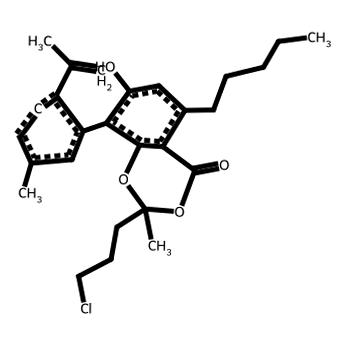 C=C(C)c1ccc(C)cc1-c1c(O)cc(CCCCC)c2c1OC(C)(CCCCl)OC2=O